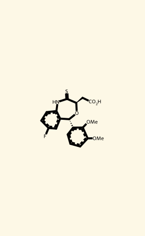 COc1cccc([C@H]2O[C@H](CC(=O)O)C(=S)Nc3ccc(F)cc32)c1OC